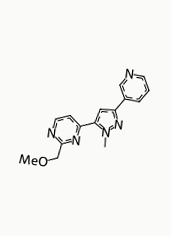 COCc1nccc(-c2cc(-c3cccnc3)nn2C)n1